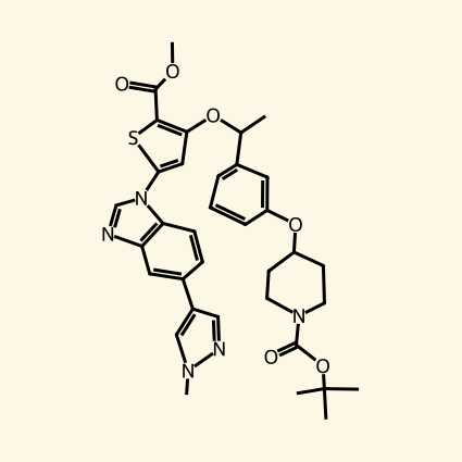 COC(=O)c1sc(-n2cnc3cc(-c4cnn(C)c4)ccc32)cc1OC(C)c1cccc(OC2CCN(C(=O)OC(C)(C)C)CC2)c1